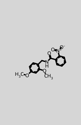 COc1ccc(CNC(=O)c2ccccc2[N+](=O)[O-])c(OC)c1